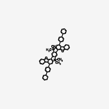 C[Si]1(C)c2cc3c(cc2-c2c1cc(-c1ccc(-c4ccccc4)cc1)c1c2oc2ccccc21)[Si](C)(C)c1cc(-c2ccc(-c4ccccc4)cc2)c2c(oc4ccccc42)c1-3